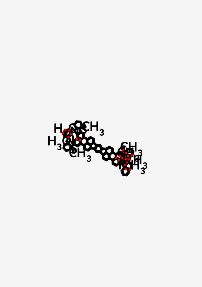 CSC12CCCCC1(C)N(c1ccccc1)c1ccc(-c3ccc4c5cc6c(cc5c5ccc(-c7ccc8c(c7)C7(SC)CCCCC7(C)N8c7ccccc7)c3c45)c3ccc(-c4ccc5c(c4)C4(SC)CCCCC4(C)N5c4ccccc4)c4c(-c5ccc7c(c5)C5(SC)CCCCC5(C)N7c5ccccc5)ccc6c43)cc12